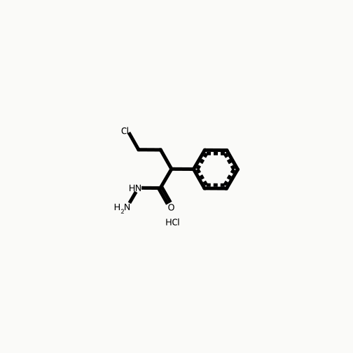 Cl.NNC(=O)C(CCCl)c1ccccc1